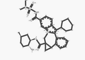 CC(C)[C@@H]1CC[C@@H](C)C[C@H]1OC(=O)C12CC1c1ccccc1-c1c(C3CCCCC3)c3ccc(C(=O)NS(=O)(=O)N(C)C)cc3n1C2